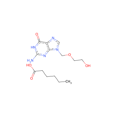 CCCCCC(=O)O.Nc1nc2c(ncn2COCCO)c(=O)[nH]1